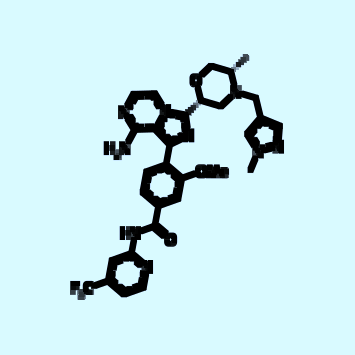 COc1cc(C(=O)Nc2cc(C(F)(F)F)ccn2)ccc1-c1nc([C@H]2CN(Cc3cnn(C)c3)[C@@H](C)CO2)n2ccnc(N)c12